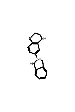 c1ccc2c(c1)C[SH](c1ccc3c(c1)NCCS3)N2